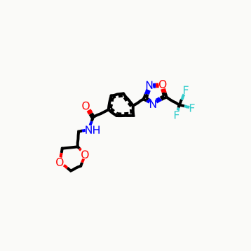 O=C(NCC1COCCO1)c1ccc(-c2noc(C(F)(F)F)n2)cc1